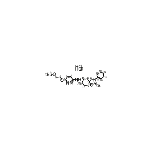 CC(C)(C)OCCOc1ccc(NC[C@H]2CC[C@]3(CC2)CN(c2cccnn2)C(=O)O3)nn1.Cl.Cl